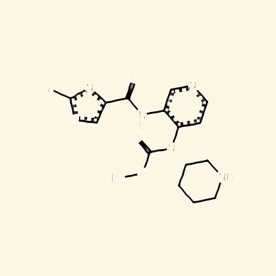 CC(C)(C)OC(=O)N(c1ccncc1NC(=O)c1csc(Br)n1)[C@H]1CCCNC1